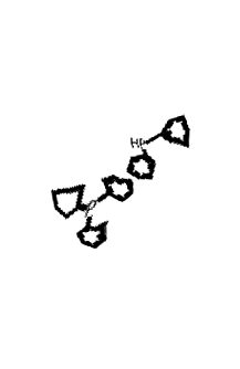 c1ccc(P(c2ccccc2)C2CCCCC2)cc1.c1ccc(Pc2ccccc2)cc1